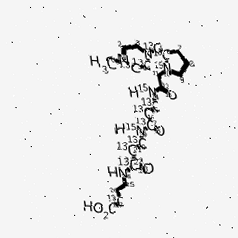 CN1CCN([13CH2][13CH]2CCC[15N]2CC(=O)[15NH][13CH2][13CH2][13C](=O)[15NH][13CH2][13CH2][13C](=O)NCC[13CH2]C(=O)O)[13CH2][13CH2]1